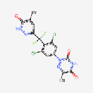 CC(C)c1cc(C(F)(F)c2c(Cl)cc(-n3nc(C#N)c(=O)[nH]c3=O)cc2Cl)n[nH]c1=O